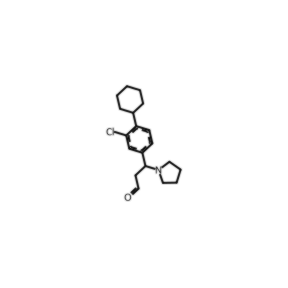 O=CCC(c1ccc(C2CCCCC2)c(Cl)c1)N1CCCC1